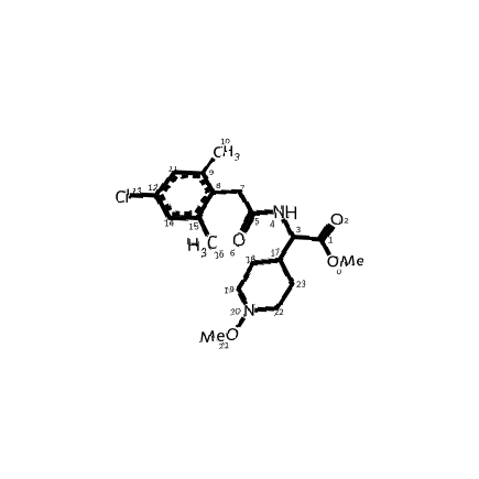 COC(=O)C(NC(=O)Cc1c(C)cc(Cl)cc1C)C1CCN(OC)CC1